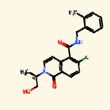 C[C@H](CO)n1ccc2c(C(=O)NCc3ccccc3C(F)(F)F)c(Cl)ccc2c1=O